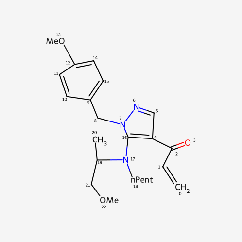 C=CC(=O)c1cnn(Cc2ccc(OC)cc2)c1N(CCCCC)C(C)COC